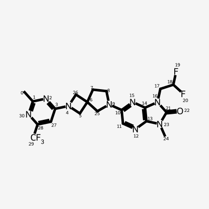 Cc1nc(N2CC3(CCN(c4cnc5c(n4)n(CC(F)F)c(=O)n5C)C3)C2)cc(C(F)(F)F)n1